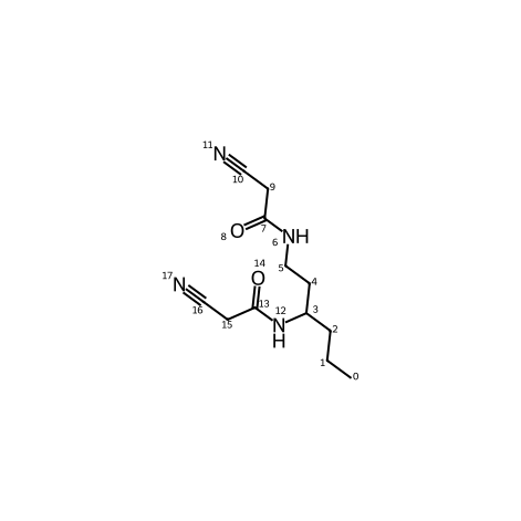 CCCC(CCNC(=O)CC#N)NC(=O)CC#N